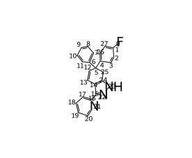 Fc1ccc(C2(c3ccccc3)C=Cc3c(-c4ccccn4)n[nH]c3C2)cc1